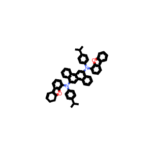 CC(C)c1ccc(N(c2cc3c4ccccc4c(N(c4ccc(C(C)C)cc4)c4cccc5c4oc4ccccc45)cc3c3ccccc23)c2cccc3c4c(oc23)CCC=C4)cc1